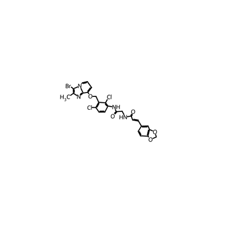 Cc1nc2c(OCc3c(Cl)ccc(NC(=O)CNC(=O)C=Cc4ccc5c(c4)OCO5)c3Cl)cccn2c1Br